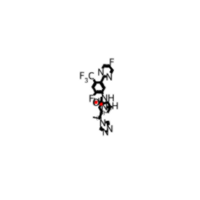 C[C@@H]1C[C@@H]2C[C@]([C@H](C)n3cnnc3)(C1)N2C(=O)Nc1cc(-c2ncc(F)cn2)c(C(F)(F)F)cc1F